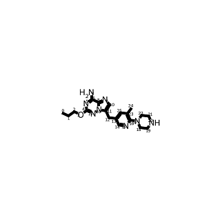 CCCOc1nc(N)c2ncc(Cc3cnc(N4CCNCC4)c(C)c3)n2n1